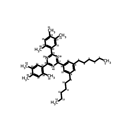 CCCCCCc1cc(CCCCCC)cc(-c2nc(-c3cc(C)c(C)cc3C)nc(-c3cc(C)c(C)cc3C)n2)c1